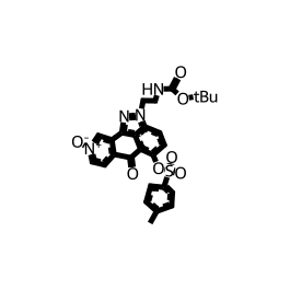 Cc1ccc(S(=O)(=O)Oc2ccc3c4c(nn3CCNC(=O)OC(C)(C)C)-c3c[n+]([O-])ccc3C(=O)c24)cc1